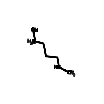 CNCCC[SiH2]O